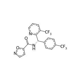 O=C(N[C@@H](c1ccc(C(F)(F)F)cc1)c1ncccc1C(F)(F)F)c1ccno1